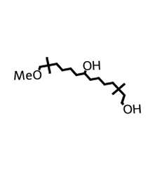 COCC(C)(C)CCCCC(O)CCCCC(C)(C)CCO